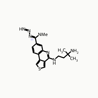 CN/C(=N\N=N)c1ccc2c(c1)nc(NCCC(C)(C)N)c1cscc12